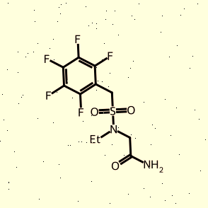 CCN(CC(N)=O)S(=O)(=O)Cc1c(F)c(F)c(F)c(F)c1F